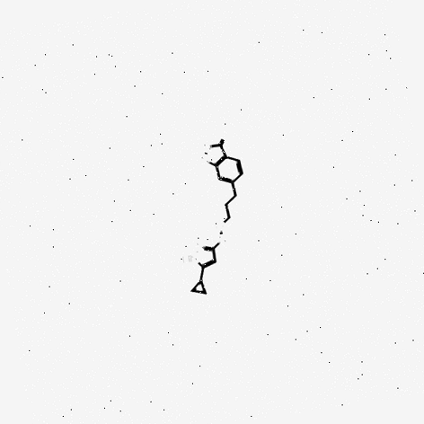 O=c1[nH][nH]c2cc(CCCONc3cc(C4CC4)[nH]n3)ccc12